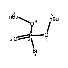 CCCCOP(=O)(Br)OCCCC